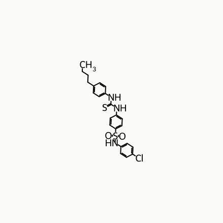 CCCCc1ccc(NC(=S)Nc2ccc(S(=O)(=O)Nc3ccc(Cl)cc3)cc2)cc1